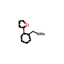 CNCc1ccccc1-c1ccco1